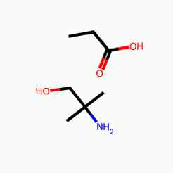 CC(C)(N)CO.CCC(=O)O